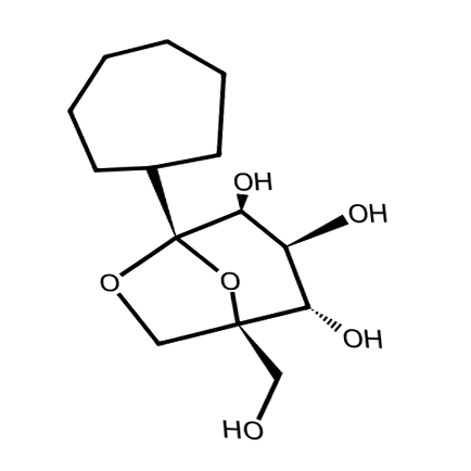 OC[C@@]12CO[C@@](C3CCCCCC3)(O1)[C@@H](O)[C@@H](O)[C@@H]2O